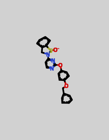 [O-][S+]1c2ccccc2CN1c1ccnc(Oc2ccc(OCc3ccccc3)cc2)n1